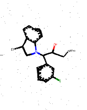 CCC1CN(C(c2cccc(F)c2)C(O)CNC)c2ccccc21